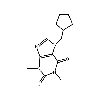 Cn1c(=O)c2c(ncn2CC2CCCC2)n(C)c1=O